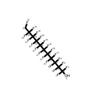 OC(F)(F)C(F)(F)C(F)(F)C(F)(F)C(F)(F)C(F)(F)C(F)(F)C(F)(F)C(F)(F)C(F)(F)CF